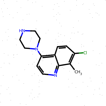 Cc1c(Cl)ccc2c(N3CCNCC3)ccnc12